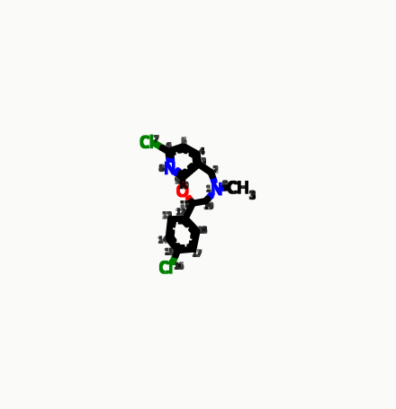 CN1Cc2ccc(Cl)nc2OC(c2ccc(Cl)cc2)C1